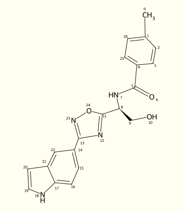 Cc1ccc(C(=O)N[C@@H](CO)c2nc(-c3ccc4[nH]ccc4c3)no2)cc1